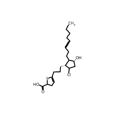 CCCC/C=C/CCC1[C@@H](CCCC2=CCC(C(=O)O)S2)C(Cl)C[C@H]1O